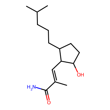 C/C(=C\C1C(O)CCC1CCCC(C)C)C(N)=O